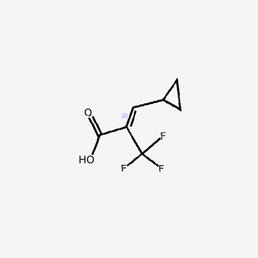 O=C(O)/C(=C/C1CC1)C(F)(F)F